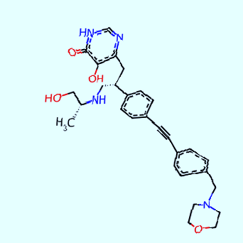 C[C@H](CO)NC[C@H](Cc1nc[nH]c(=O)c1O)c1ccc(C#Cc2ccc(CN3CCOCC3)cc2)cc1